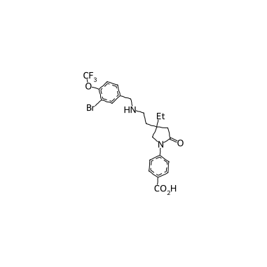 CCC1(CCNCc2ccc(OC(F)(F)F)c(Br)c2)CC(=O)N(c2ccc(C(=O)O)cc2)C1